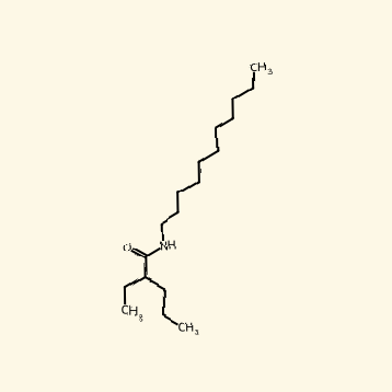 CCCCCCCCCCCNC(=O)C(CC)CCC